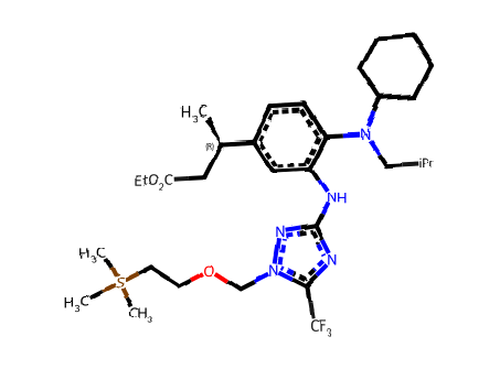 CCOC(=O)C[C@@H](C)c1ccc(N(CC(C)C)C2CCCCC2)c(Nc2nc(C(F)(F)F)n(COCCS(C)(C)C)n2)c1